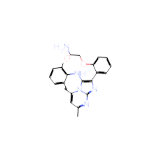 Cc1cc(C)n2c(Nc3c(C)cccc3C)c(-c3ccccc3OCC(N)=O)nc2n1